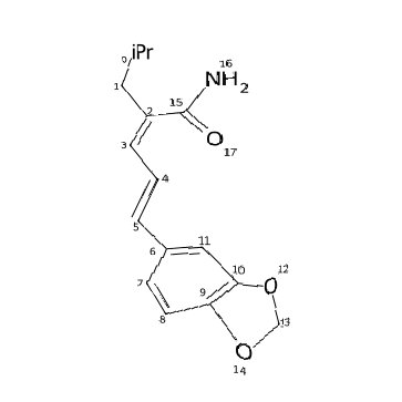 CC(C)CC(=CC=Cc1ccc2c(c1)OCO2)C(N)=O